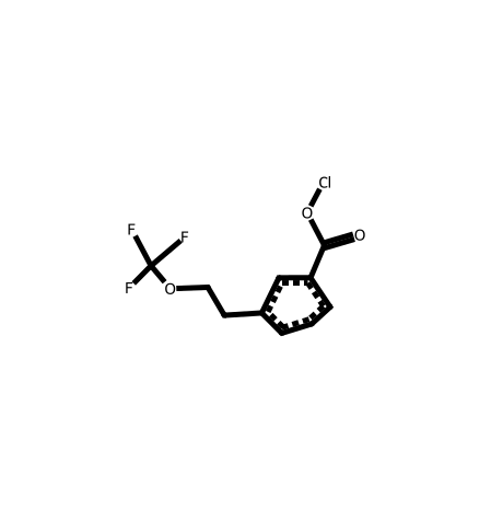 O=C(OCl)c1cccc(CCOC(F)(F)F)c1